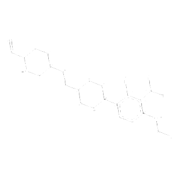 C=CC1CCC(CCC2CCC(c3ccc(OCC)c(C(F)F)c3F)CC2)CO1